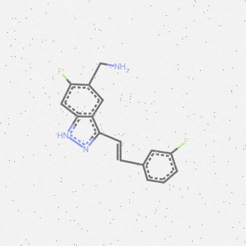 NCc1cc2c(/C=C/c3cccc(F)c3)n[nH]c2cc1F